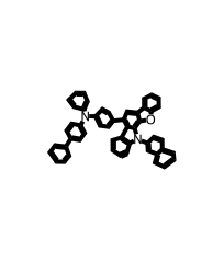 c1ccc2c3c(-c4ccc(N(c5ccccc5)c5ccc(-c6ccccc6)cc5)cc4)cc4c5ccccc5oc4c3n(-c3ccc4ccccc4c3)c2c#1